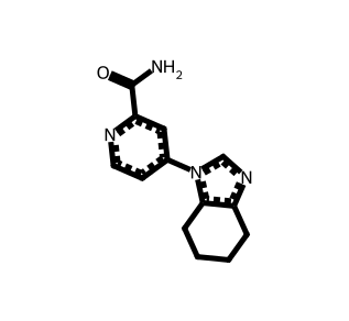 NC(=O)c1cc(-n2cnc3c2CCCC3)ccn1